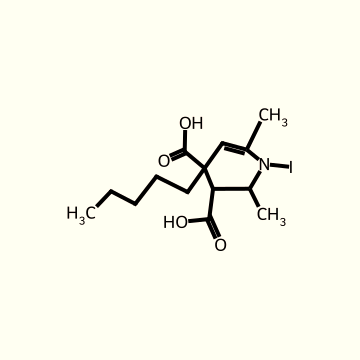 CCCCCC1(C(=O)O)C=C(C)N(I)C(C)C1C(=O)O